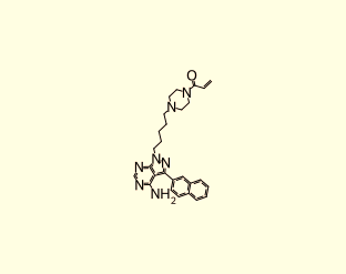 C=CC(=O)N1CCN(CCCCCn2nc(-c3ccc4ccccc4c3)c3c(N)ncnc32)CC1